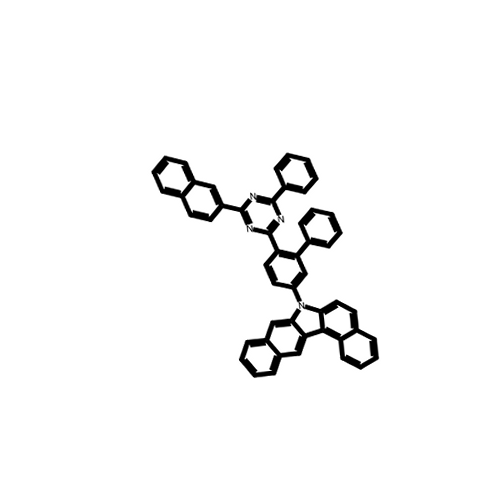 c1ccc(-c2nc(-c3ccc4ccccc4c3)nc(-c3ccc(-n4c5cc6ccccc6cc5c5c6ccccc6ccc54)cc3-c3ccccc3)n2)cc1